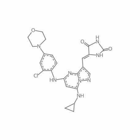 O=C1NC(=O)/C(=C/c2cnn3c(NC4CC4)cc(Nc4ccc(N5CCOCC5)cc4Cl)nc23)N1